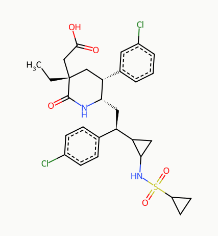 CC[C@@]1(CC(=O)O)C[C@H](c2cccc(Cl)c2)[C@H](C[C@H](c2ccc(Cl)cc2)C2CC2NS(=O)(=O)C2CC2)NC1=O